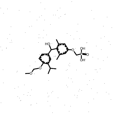 COCOc1ccc(C(O)c2c(C)cc(OCP(=O)(O)O)cc2C)cc1C(C)C